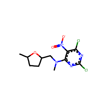 CC1CCC(CN(C)c2nc(Cl)nc(Cl)c2[N+](=O)[O-])O1